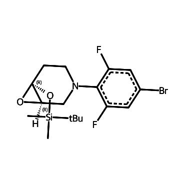 CC(C)(C)[Si](C)(C)O[C@]12CCN(c3c(F)cc(Br)cc3F)C[C@H]1O2